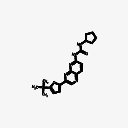 C[Si](C)(C)c1ccc(-c2cnc3ccc(NC(=O)NC4CCCC4)nc3n2)o1